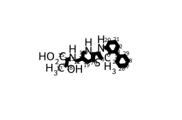 Cc1c(Nc2csc3c2NCC(CNC(C(=O)O)C(C)O)=C3)cccc1-c1ccccc1